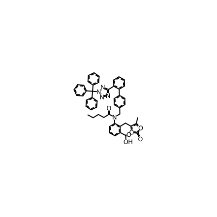 CCCCC(=O)N(Cc1ccc(-c2ccccc2-c2nnn(C(c3ccccc3)(c3ccccc3)c3ccccc3)n2)cc1)c1cccc(C(=O)O)c1Cc1oc(=O)oc1C